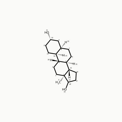 C[C@]12CC[C@H]3[C@@H](CC[C@@H]4C[C@@H](O)CC[C@@H]43)[C@@H]1CCC2O